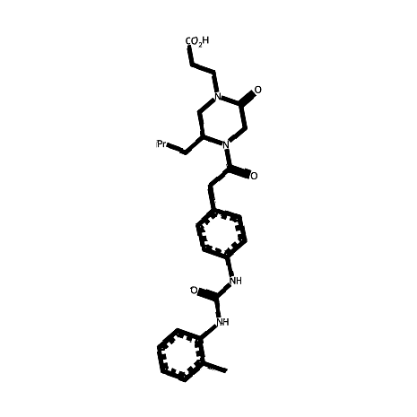 Cc1ccccc1NC(=O)Nc1ccc(CC(=O)N2CC(=O)N(CCC(=O)O)CC2CC(C)C)cc1